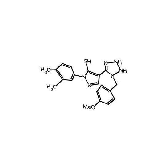 COc1ccc(CN2NNN=C2c2cnn(-c3ccc(C)c(C)c3)c2S)cc1